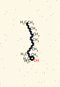 CC(C)=CCC/C(C)=C/C=C/C(C)=C\C=C/C(C)=C/C=C\C=C(C)\C=C\C=C(C)/C=C/C1=C(C)CC(O)CC1(C)C